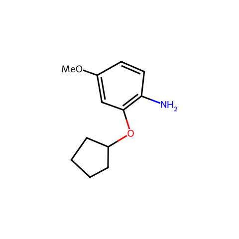 COc1ccc(N)c(OC2CCCC2)c1